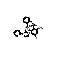 Cc1cc(C)c(S(=O)(=O)Nc2ccccc2CSc2nccn2-c2ccccn2)c(C)c1